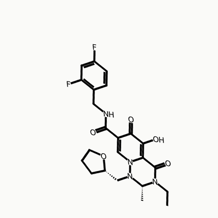 CCN1C(=O)c2c(O)c(=O)c(C(=O)NCc3ccc(F)cc3F)cn2N(C[C@@H]2CCCO2)[C@H]1C